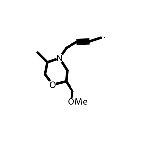 [CH2]C#CCN1CC(COC)OCC1C